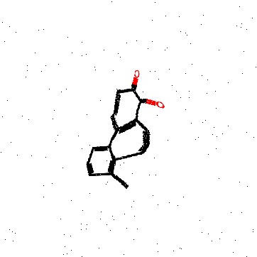 Cc1cccc2c3c(ccc12)C(=O)C(=O)C=C3